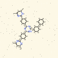 Cc1cc(C)nc(-c2ccc(C3=NC(c4ccc(-c5nc(C)cc(C)n5)cc4)NC(c4cccc(-c5ccccc5)c4)=N3)cc2)n1